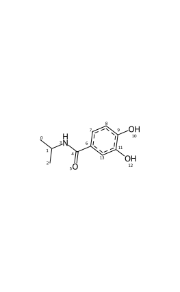 CC(C)NC(=O)c1ccc(O)c(O)c1